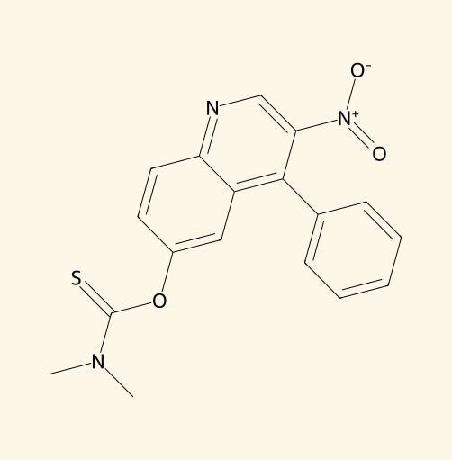 CN(C)C(=S)Oc1ccc2ncc([N+](=O)[O-])c(-c3ccccc3)c2c1